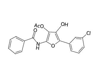 CC(=O)Oc1c(NC(=O)c2ccccc2)oc(-c2cccc(Cl)c2)c1O